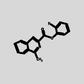 Cc1nc(C(=O)Oc2ccccc2F)cc2ccccc12